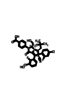 CC(C)(C)C[C@@H]1N2C(=C(c3cccc(Cl)c3F)[C@@]1(C#N)c1ccc(Cl)cc1F)C(=O)N(c1ccc(C(=O)O)cc1)[C@H]2CO.Cl